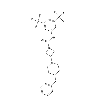 O=C(Nc1cc(C(F)(F)F)cc(C(F)(F)F)c1)N1CC(N2CCC(Cc3ccccc3)CC2)C1